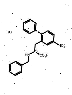 Cl.O=C(O)[C@H](Cc1cc([N+](=O)[O-])ccc1-c1ccccc1)NCc1ccccc1